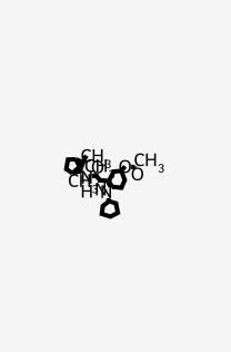 CC(=O)OC1CCc2c(c(C(=O)NC3C4(C)CCC(C4)C3(C)C)nn2C2CCCCC2)C1